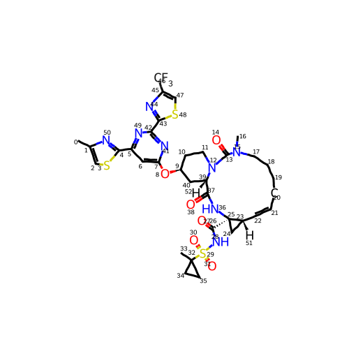 Cc1csc(-c2cc(O[C@H]3CCN4C(=O)N(C)CCCCC=C[C@@H]5C[C@@]5(C(=O)NS(=O)(=O)C5(C)CC5)NC(=O)[C@@H]4C3)nc(-c3nc(C(F)(F)F)cs3)n2)n1